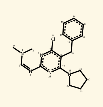 CN(C)/C=N\c1nc(Cl)c(Cc2ccccc2)c(N2CCCC2)n1